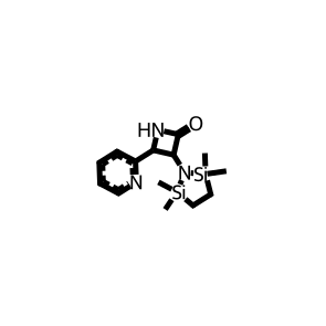 C[Si]1(C)CC[Si](C)(C)N1C1C(=O)NC1c1ccccn1